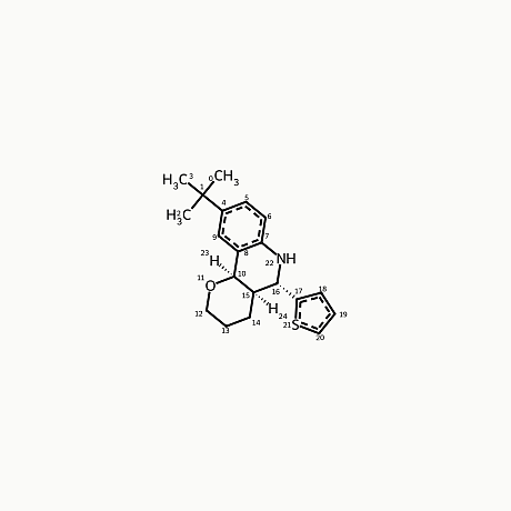 CC(C)(C)c1ccc2c(c1)[C@@H]1OCCC[C@@H]1[C@@H](c1cccs1)N2